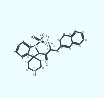 CS(=O)(=O)N1c2ccccc2C2(CCNCC2)C1C(=O)C(N)CC1=Cc2ccccc2CC1